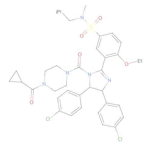 CCOc1ccc(S(=O)(=O)N(C)CC(C)C)cc1C1=NC(c2ccc(Cl)cc2)C(c2ccc(Cl)cc2)N1C(=O)N1CCN(C(=O)C2CC2)CC1